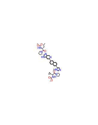 CCC[C@H](NC(=O)OC)C(=O)N1CCC[C@H]1c1nc2cnc(-c3ccc4cc(-c5cnc([C@@H]6CCCN6C(=O)[C@@H](NC(=O)OC)C6CC6)[nH]5)ccc4c3)cc2[nH]1